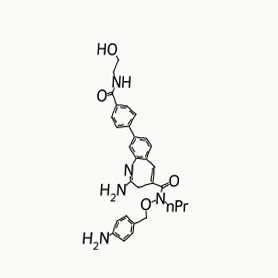 CCCN(OCc1ccc(N)cc1)C(=O)C1=Cc2ccc(-c3ccc(C(=O)NCCO)cc3)cc2N=C(N)C1